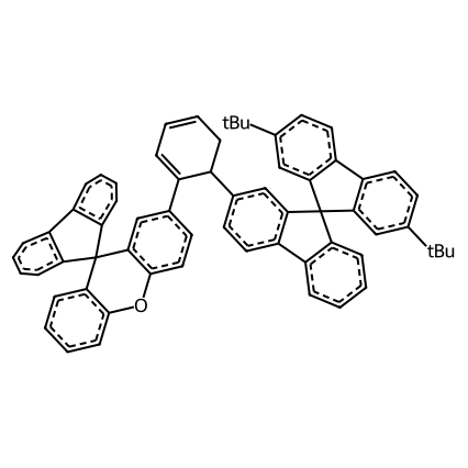 CC(C)(C)c1ccc2c(c1)C1(c3ccccc3-c3ccc(C4CC=CC=C4c4ccc5c(c4)C4(c6ccccc6O5)c5ccccc5-c5ccccc54)cc31)c1cc(C(C)(C)C)ccc1-2